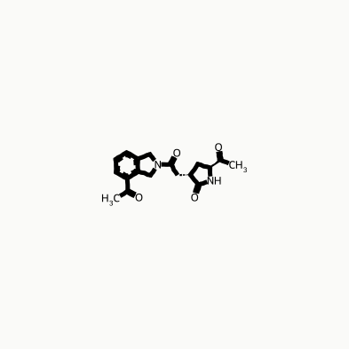 CC(=O)c1cccc2c1CN(C(=O)C[C@@H]1C[C@@H](C(C)=O)NC1=O)C2